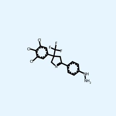 NNc1ccc(C2=NCC(c3cc(Cl)c(Cl)c(Cl)c3)(C(F)(F)F)C2)cc1